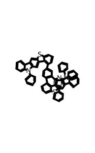 c1ccc(-c2nc(-c3ccccc3)nc(-c3cc(-c4cccc5sc6cc7c8ccccc8n(-c8ccccc8)c7cc6c45)ccc3-c3cccc4sc5cc6c7ccccc7n(-c7ccccc7)c6cc5c34)n2)cc1